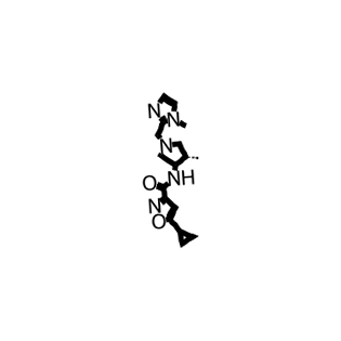 C[C@H]1CN(Cc2nccn2C)CC1NC(=O)c1cc(C2CC2)on1